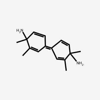 CC1=C/C(=C2/C=CC(C)(N)C(C)=C2)C=CC1(C)N